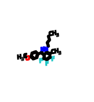 CCCCCn1nc(-c2ccc(OC)cc2)c2c(F)c(F)c(F)c(C)c21